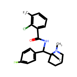 CN1CC2CCC1(C(NC(=O)c1cccc(C(F)(F)F)c1Cl)c1ccc(F)cc1)CC2